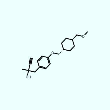 C#CC(C)(O)Cc1ccc(OC[C@H]2CC[C@H](COC)CC2)cc1